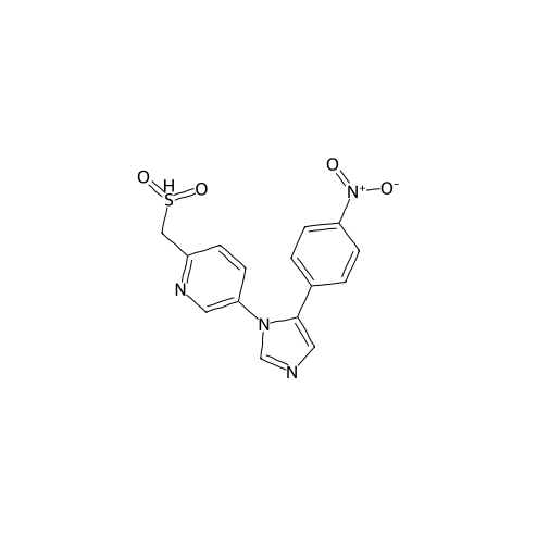 O=[N+]([O-])c1ccc(-c2cncn2-c2ccc(C[SH](=O)=O)nc2)cc1